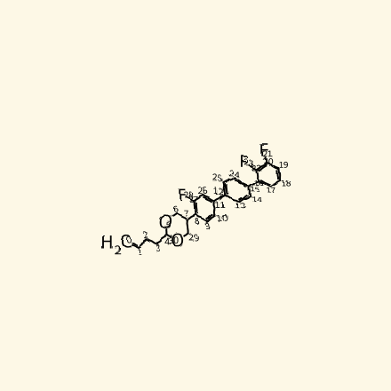 C=CCCC1OCC(c2ccc(-c3ccc(-c4cccc(F)c4F)cc3)cc2F)CO1